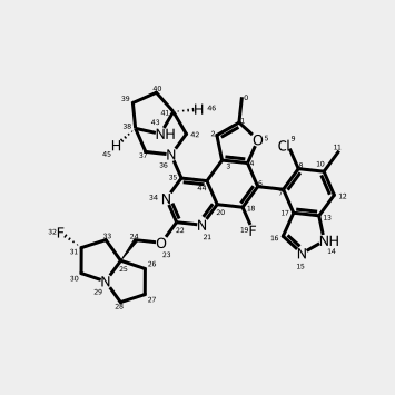 Cc1cc2c(o1)c(-c1c(Cl)c(C)cc3[nH]ncc13)c(F)c1nc(OC[C@@]34CCCN3C[C@H](F)C4)nc(N3C[C@H]4CC[C@@H](C3)N4)c12